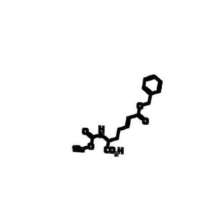 CC(C)(C)OC(=O)NC(CCC=CC(=O)OCc1ccccc1)C(=O)O